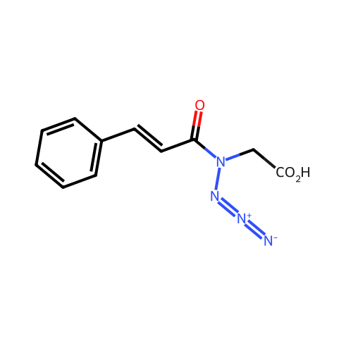 [N-]=[N+]=NN(CC(=O)O)C(=O)C=Cc1ccccc1